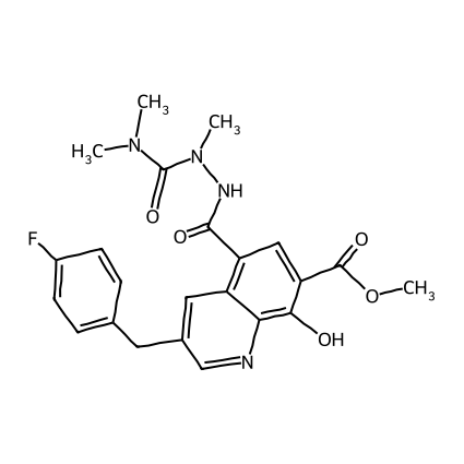 COC(=O)c1cc(C(=O)NN(C)C(=O)N(C)C)c2cc(Cc3ccc(F)cc3)cnc2c1O